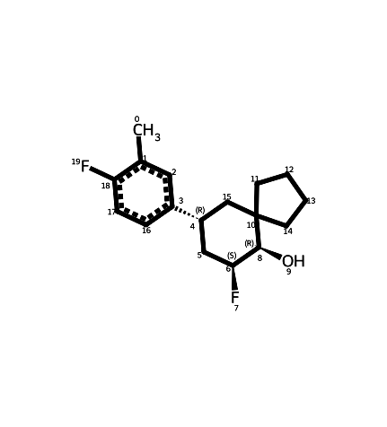 Cc1cc([C@H]2C[C@H](F)[C@H](O)C3(CCCC3)C2)ccc1F